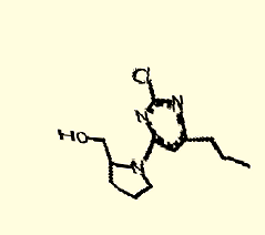 CCCc1cc(N2CCCC2CO)nc(Cl)n1